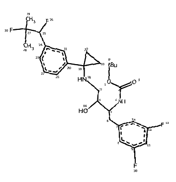 CC(C)(C)OC(=O)NC(Cc1cc(F)cc(F)c1)C(O)CNC1(c2cccc(C(F)C(C)(C)F)c2)CC1